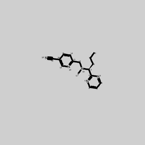 CCC[C@@H](c1ncccn1)N(I)Cc1ccc(C#N)cn1